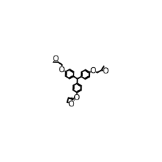 c1cc(C(c2ccc(OCC3CO3)cc2)c2ccc(O[C@@H]3CCO3)cc2)ccc1OCC1CO1